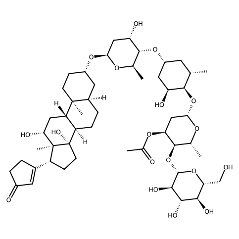 CC(=O)O[C@H]1C[C@H](O[C@@H]2[C@@H](C)C[C@@H](O[C@H]3[C@@H](O)C[C@H](O[C@H]4CC[C@@]5(C)[C@H](CC[C@@H]6[C@@H]5C[C@@H](O)[C@]5(C)[C@@H](C7=CC(=O)CC7)CC[C@]65O)C4)O[C@@H]3C)C[C@@H]2O)O[C@H](C)[C@H]1O[C@@H]1O[C@H](CO)[C@@H](O)[C@H](O)[C@H]1O